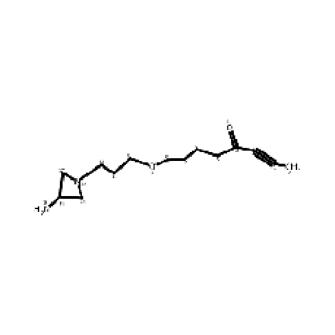 CC#CC(=O)CCCCOCCCN1CC(N)C1